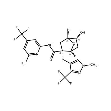 Cc1cc(C(F)(F)F)cc(NC(=O)[C@@]2(Cc3cn(C)nc3C(F)(F)F)C[C@H]3O[C@@H]2C[C@@H]3O)n1